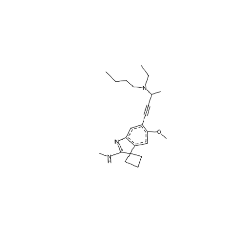 CCCCN(CC)C(C)C#Cc1cc2c(cc1OC)C1(CCC1)C(NC)=N2